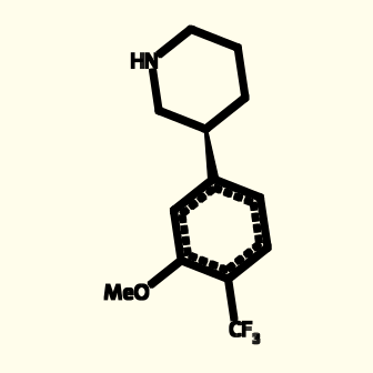 COc1cc([C@@H]2CCCNC2)ccc1C(F)(F)F